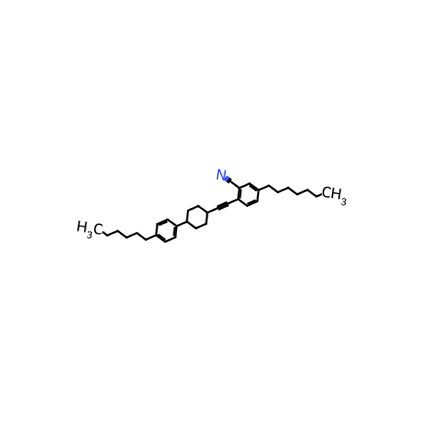 CCCCCCCc1ccc(C#CC2CCC(c3ccc(CCCCCC)cc3)CC2)c(C#N)c1